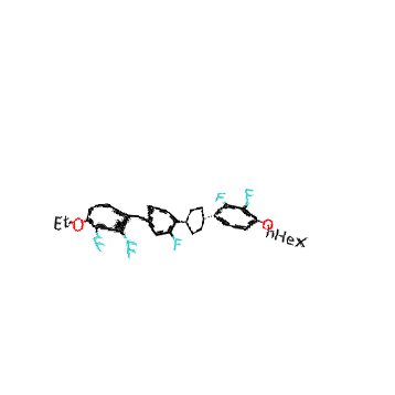 CCCCCCOc1ccc([C@H]2CC[C@H](c3ccc(-c4ccc(OCC)c(F)c4F)cc3F)CC2)c(F)c1F